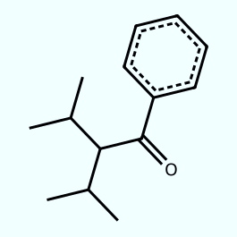 CC(C)C(C(=O)c1ccccc1)C(C)C